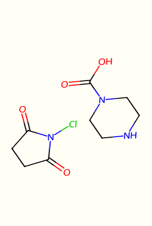 O=C(O)N1CCNCC1.O=C1CCC(=O)N1Cl